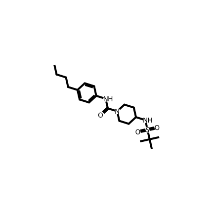 CCCCc1ccc(NC(=O)N2CCC(NS(=O)(=O)C(C)(C)C)CC2)cc1